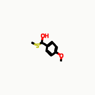 COc1ccc(C(O)SC)cc1